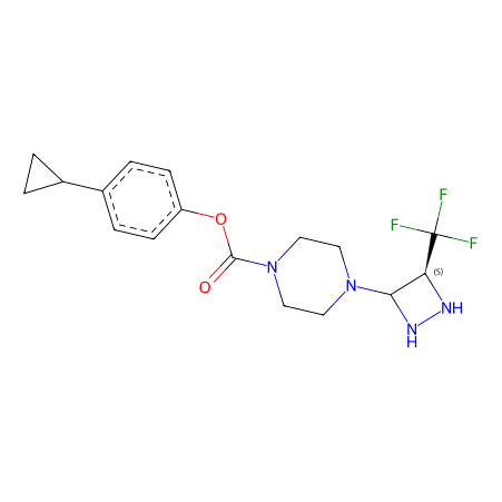 O=C(Oc1ccc(C2CC2)cc1)N1CCN(C2NN[C@@H]2C(F)(F)F)CC1